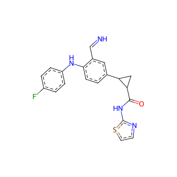 N=Cc1cc(C2CC2C(=O)Nc2nccs2)ccc1Nc1ccc(F)cc1